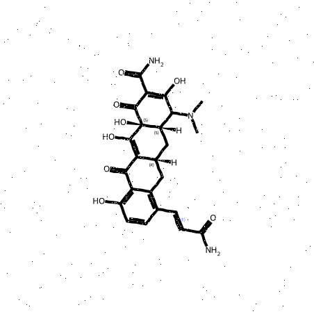 CN(C)C1C(O)=C(C(N)=O)C(=O)[C@@]2(O)C(O)=C3C(=O)c4c(O)ccc(/C=C/C(N)=O)c4C[C@H]3C[C@@H]12